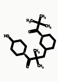 CC(C)(C)C(=O)N1CCCC(CC(C)(C)C(=O)N2CCC(O)CC2)C1